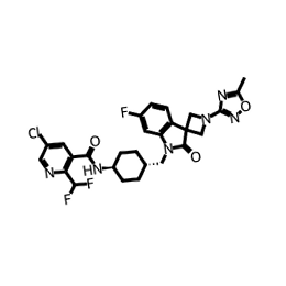 Cc1nc(N2CC3(C2)C(=O)N(C[C@H]2CC[C@H](NC(=O)c4cc(Cl)cnc4C(F)F)CC2)c2cc(F)ccc23)no1